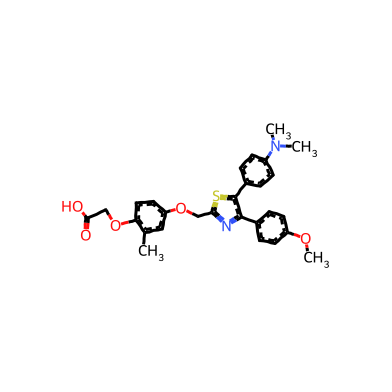 COc1ccc(-c2nc(COc3ccc(OCC(=O)O)c(C)c3)sc2-c2ccc(N(C)C)cc2)cc1